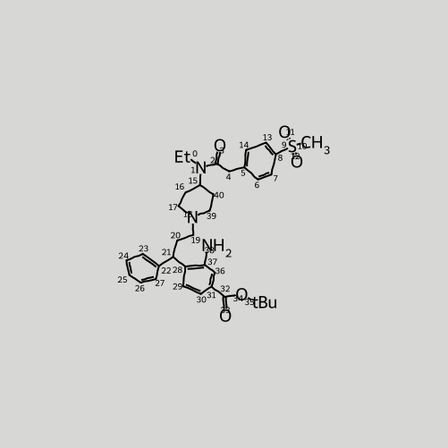 CCN(C(=O)Cc1ccc(S(C)(=O)=O)cc1)C1CCN(CCC(c2ccccc2)c2ccc(C(=O)OC(C)(C)C)cc2N)CC1